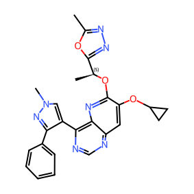 Cc1nnc([C@H](C)Oc2nc3c(-c4cn(C)nc4-c4ccccc4)ncnc3cc2OC2CC2)o1